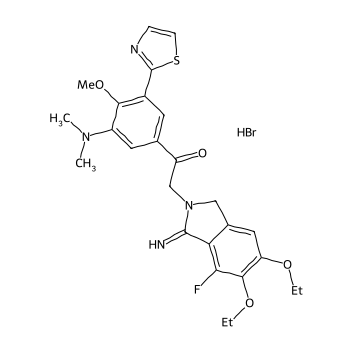 Br.CCOc1cc2c(c(F)c1OCC)C(=N)N(CC(=O)c1cc(-c3nccs3)c(OC)c(N(C)C)c1)C2